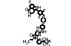 C=CCn1c(=O)c2c(n1-c1cccc(C(C)(C)O)n1)N=C(Nc1ccc(N3CCN(Cc4c(F)cc(-c5[nH]c6cc(F)cc7c6c5CCNC7=O)cc4F)CC3)cc1)NC2